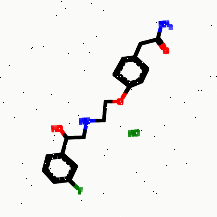 Cl.NC(=O)Cc1ccc(OCCNCC(O)c2cccc(F)c2)cc1